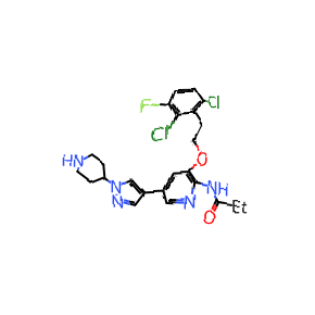 CCC(=O)Nc1ncc(-c2cnn(C3CCNCC3)c2)cc1OCCc1c(Cl)ccc(F)c1Cl